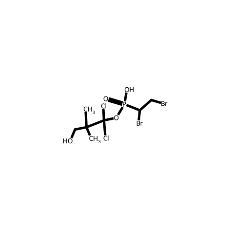 CC(C)(CO)C(Cl)(Cl)OP(=O)(O)C(Br)CBr